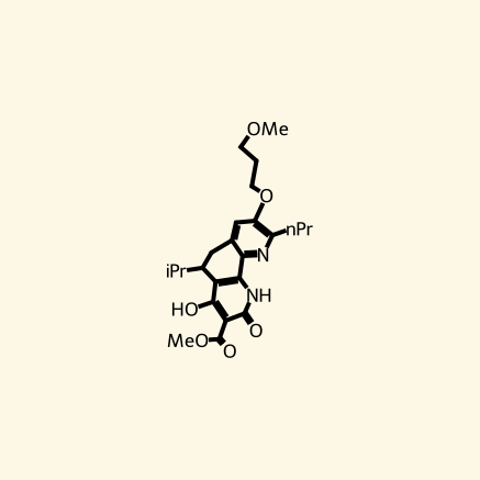 CCCc1nc2c(cc1OCCCOC)CC(C(C)C)c1c-2[nH]c(=O)c(C(=O)OC)c1O